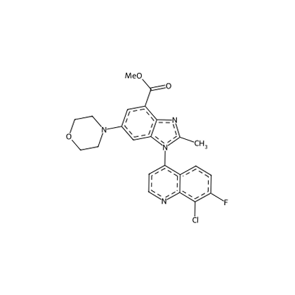 COC(=O)c1cc(N2CCOCC2)cc2c1nc(C)n2-c1ccnc2c(Cl)c(F)ccc12